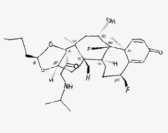 CCC[C@@H]1O[C@@H]2C[C@H]3[C@@H]4C[C@H](F)C5=CC(=O)C=C[C@]5(C)[C@@]4(F)[C@@H](O)C[C@]3(C)[C@]2(C(=O)CNC(C)C)O1